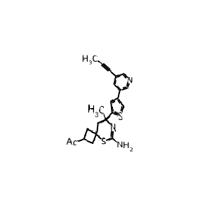 CC#Cc1cncc(-c2csc(C3(C)CC4(CC(C(C)=O)C4)SC(N)=N3)c2)c1